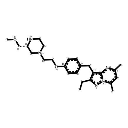 CCc1nn2c(C)cc(C)nc2c1Cc1ccc(OCCN2CCN[C@@H](COC)C2)cc1